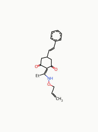 C=CCONC(CC)=C1C(=O)CC(C=Cc2ccccc2)CC1=O